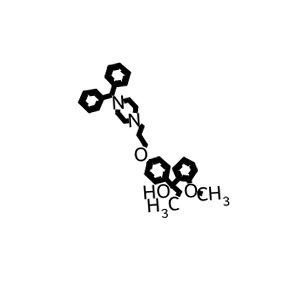 CCC(O)(c1ccc(OCCCN2CCN(C(c3ccccc3)c3ccccc3)CC2)cc1)c1ccccc1OC